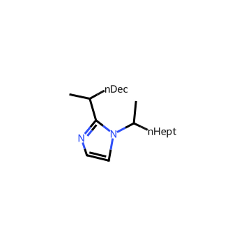 CCCCCCCCCCC(C)c1nccn1C(C)CCCCCCC